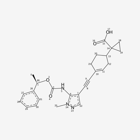 C[C@@H](OC(=O)Nc1c(C#CC2=CCC(C3(C(=O)O)CC3)CC2)cnn1C)c1ccccc1